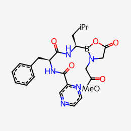 COC(=O)CN1CC(=O)OB1[C@H](CC(C)C)NC(=O)[C@H](Cc1ccccc1)NC(=O)c1cnccn1